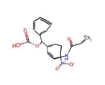 C=CC(=O)NC1([N+](=O)[O-])C=CC(C(OC(=O)O)c2ccccc2)=CC1